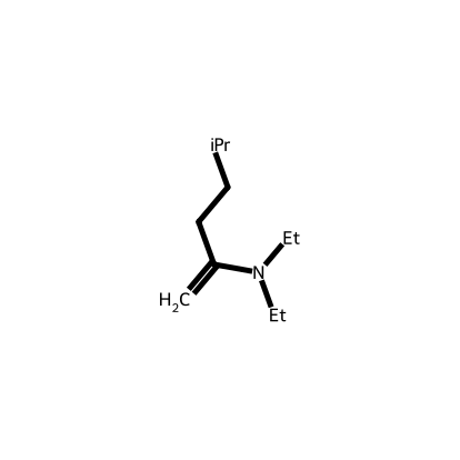 C=C(CCC(C)C)N(CC)CC